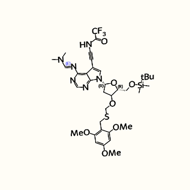 COc1cc(OC)c(CSCOC2C[C@H](n3cc(C#CNC(=O)C(F)(F)F)c4c(/N=C/N(C)C)ncnc43)O[C@@H]2CO[Si](C)(C)C(C)(C)C)c(OC)c1